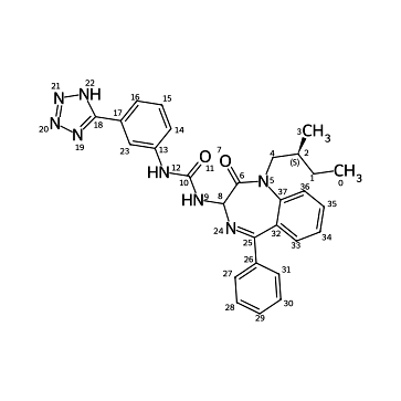 CC[C@H](C)CN1C(=O)C(NC(=O)Nc2cccc(-c3nnn[nH]3)c2)N=C(c2ccccc2)c2ccccc21